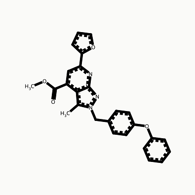 COC(=O)c1cc(-c2ccco2)nc2nn(Cc3ccc(Oc4ccccc4)cc3)c(C)c12